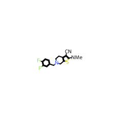 CNc1sc2c(c1C#N)CCN(Cc1ccc(F)c(F)c1)C2